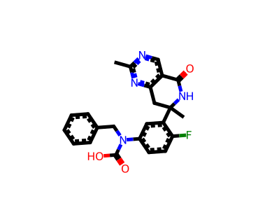 Cc1ncc2c(n1)CC(C)(c1cc(N(Cc3ccccc3)C(=O)O)ccc1F)NC2=O